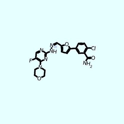 NC(=O)c1cc(-c2ccc(/C=N\Nc3ncc(F)c(N4CCOCC4)n3)o2)ccc1Cl